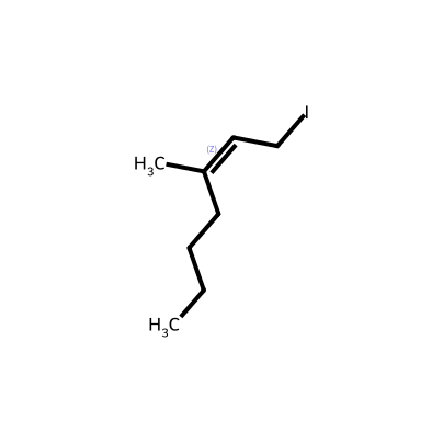 CCCC/C(C)=C\CI